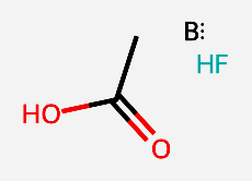 CC(=O)O.F.[B]